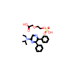 CCN(c1cnc(-c2ccccc2)c(-c2ccccc2)n1)C(C)C.O=C(O)COCCOS(=O)(=O)O